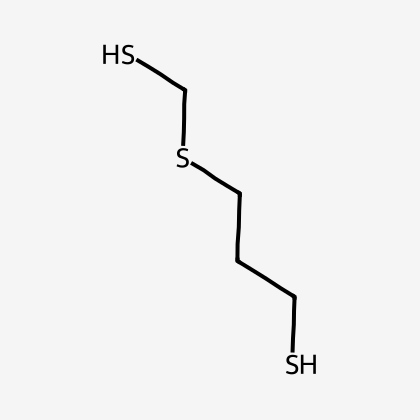 SCCCSCS